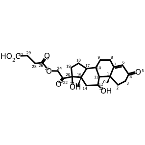 C[C@]12CCC(=O)C=C1CCC1C2C(O)C[C@@]2(C)C1CCC2(O)C(=O)COC(=O)CCC(=O)O